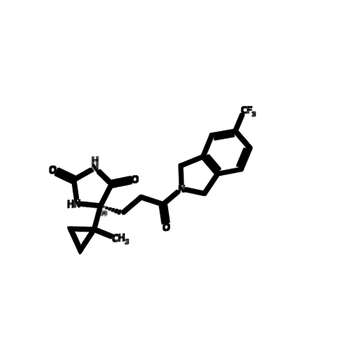 CC1([C@@]2(CCC(=O)N3Cc4ccc(C(F)(F)F)cc4C3)NC(=O)NC2=O)CC1